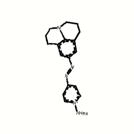 CCCCCC[n+]1ccc(/N=N/c2cc3c4c(c2)CCCN4CCC3)cc1